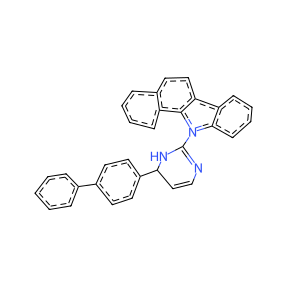 C1=CC(c2ccc(-c3ccccc3)cc2)NC(n2c3ccccc3c3ccc4ccccc4c32)=N1